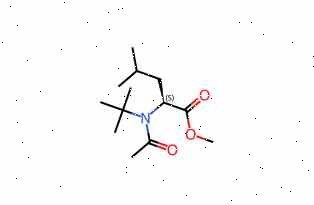 COC(=O)[C@H](CC(C)C)N(C(C)=O)C(C)(C)C